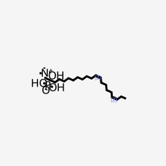 CC/C=C\CCCC/C=C\CCCCCCCCCC(O)(C[N+](C)(C)C)P(=O)(O)O